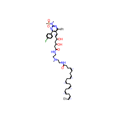 CC/C=C\C/C=C\C/C=C\C/C=C\C/C=C\C/C=C\CCC(=O)NCCN(C)CCNC(=O)C[C@H](O)C[C@H](O)/C=C/c1c(-c2ccc(F)cc2)nc(N(C)S(C)(=O)=O)nc1C(C)C